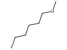 COCCCCCF